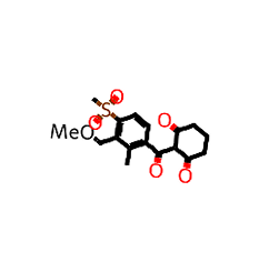 COCc1c(S(C)(=O)=O)ccc(C(=O)C2C(=O)CCCC2=O)c1C